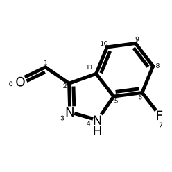 O=Cc1n[nH]c2c(F)cccc12